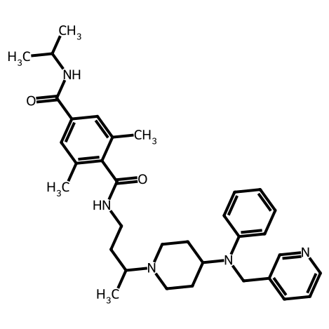 Cc1cc(C(=O)NC(C)C)cc(C)c1C(=O)NCCC(C)N1CCC(N(Cc2cccnc2)c2ccccc2)CC1